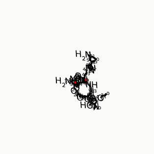 C=CCOC[C@@H]1CC(N(C)C)C(O)[C@H](O[C@@H]2[C@@H](C)C(=O)[C@@H](C)C(=O)O[C@H](CC)[C@@]3(n4ccc(N)nc4=O)OC(=O)N(CCCCn4cc(-c5cccc(N)c5)nn4)[C@@H]3[C@@H](C)NC[C@H](C)C[C@@]2(C)OC)O1